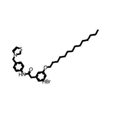 Br.CCCCCCCCCCCCCCOc1cccc(CC(=O)Nc2ccc(CN3C=CSC3)cc2)c1